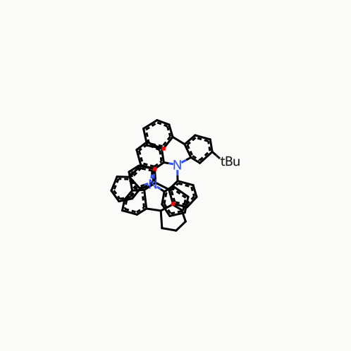 CC(C)(C)c1ccc(-c2ccccc2)c(N(c2ccccc2-c2cccc3cccc(C4CCCCC4)c23)c2cccc3c4ccccc4n(-c4ccccc4)c23)c1